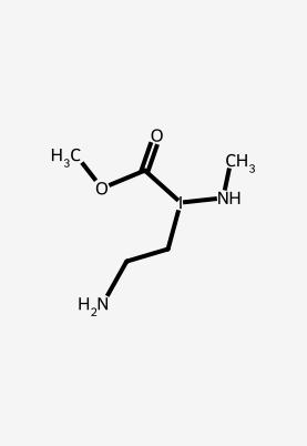 CNI(CCN)C(=O)OC